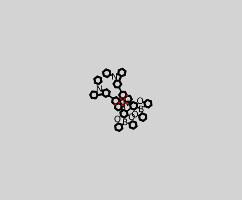 c1ccc(-n2c3ccccc3c3cc(-c4ccc5c(c4)c4ccccc4n5-c4cc5c6c(c4-c4c(-n7c8ccccc8c8cc(-c9ccc%10c(c9)c9ccccc9n%10-c9ccccc9)ccc87)cc7c8c4Oc4ccccc4B8c4ccccc4O7)Oc4ccccc4B6c4ccccc4O5)ccc32)cc1